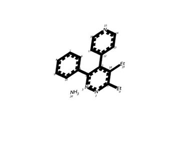 CCc1nnc(-c2ccccc2)c(-c2ccncc2)c1CC.N